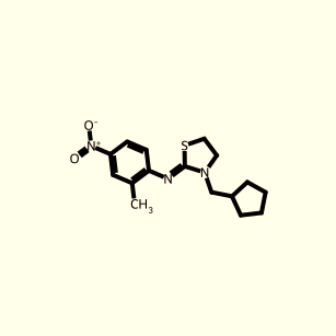 Cc1cc([N+](=O)[O-])ccc1/N=C1\SCCN1CC1CCCC1